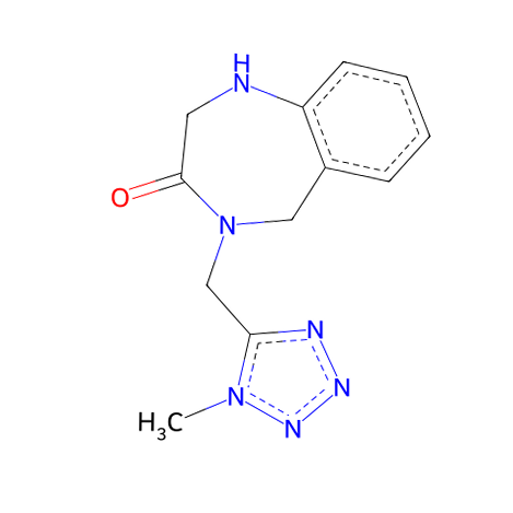 Cn1nnnc1CN1Cc2ccccc2NCC1=O